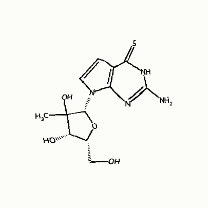 CC1(O)[C@@H](O)[C@@H](CO)O[C@H]1n1ccc2c(=S)[nH]c(N)nc21